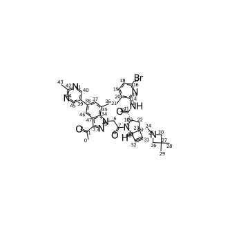 CC(=O)c1nn(CC(=O)N2[C@H](C(=O)Nc3nc(Br)ccc3C)C[C@@]3(CN4CC(C)(C)C4)C#C[C@@H]23)c2c(C)cc(-c3cnc(C)nc3)cc12